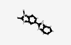 Cc1nc2cc(-c3nc4ccccc4o3)ccc2n1C